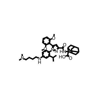 COc1cccc(OC)c1-c1cc(C(=O)NC2(C(=O)O)C3CC4CC(C3)CC2C4)nn1-c1ccc(NCCCCN(C)C)cc1C(C)C